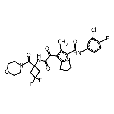 Cc1c(C(=O)C(=O)NC2(C(=O)N3CCOCC3)CC(F)(F)C2)c2n(c1C(=O)Nc1ccc(F)c(Cl)c1)CCC2